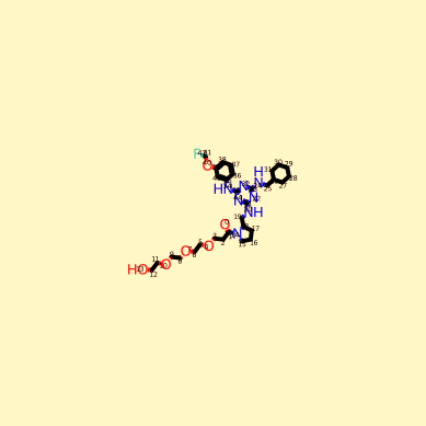 O=C(CCOCCOCCOCCO)N1CCCC1CNc1nc(NCC2CCCCC2)nc(Nc2cccc(OCF)c2)n1